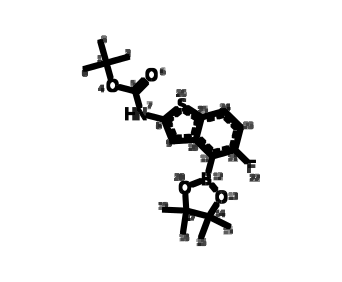 CC(C)(C)OC(=O)Nc1cc2c(B3OC(C)(C)C(C)(C)O3)c(F)ccc2s1